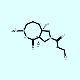 COB1CCC[C@H]2CN(C(=O)CCO)C[C@@]2(N)C(=O)O1